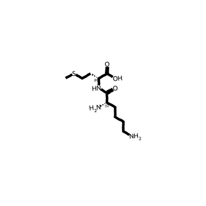 CSCC[C@@H](NC(=O)[C@@H](N)CCCCN)C(=O)O